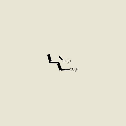 C=CC=CC(=O)O.CC(=O)O